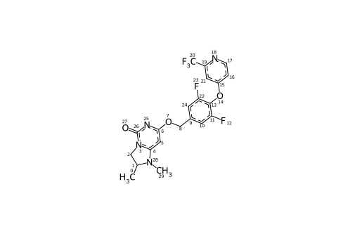 CC1Cn2c(cc(OCc3cc(F)c(Oc4ccnc(C(F)(F)F)c4)c(F)c3)nc2=O)N1C